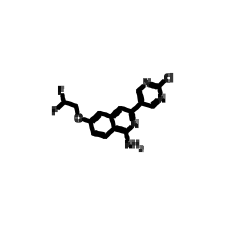 Nc1nc(-c2cnc(Cl)nc2)cc2cc(OCC(F)F)ccc12